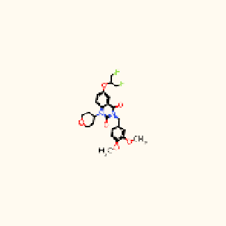 COc1ccc(Cn2c(=O)c3cc(OC(CF)CF)ccc3n(C3CCOCC3)c2=O)cc1OC